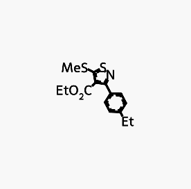 CCOC(=O)c1c(-c2ccc(CC)cc2)nsc1SC